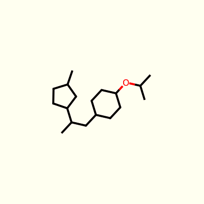 CC1CCC(C(C)CC2CCC(OC(C)C)CC2)C1